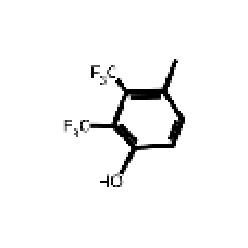 Cc1ccc(O)c(C(F)(F)F)c1C(F)(F)F